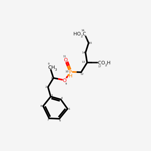 CC(Cc1ccccc1)O[PH](=O)CC(CCC(=O)O)C(=O)O